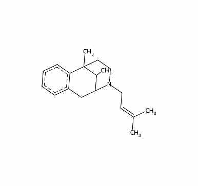 CC(C)=CCN1CCC2(C)c3ccccc3CC1C2C